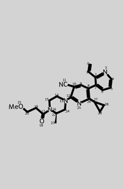 C=Cc1ncccc1-c1cc(C#N)c(N2CCN(C(=O)CCOC)[C@H](C)C2)nc1C1CC1